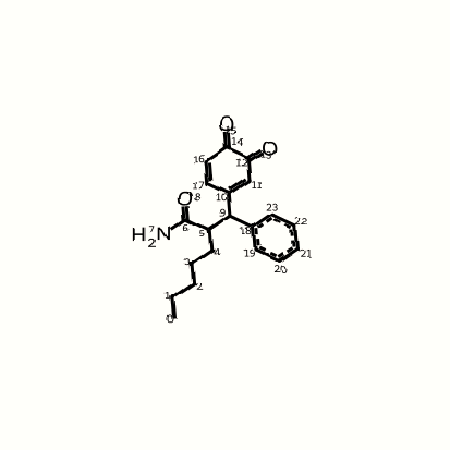 CCCCCC(C(N)=O)C(C1=CC(=O)C(=O)C=C1)c1ccccc1